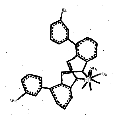 CCC[CH2][Hf]([CH3])([CH3])([CH3])(=[SiH2])([CH]1C=Cc2c(-c3cccc(C(C)(C)C)c3)cccc21)[CH]1C=Cc2c(-c3cccc(C(C)(C)C)c3)cccc21